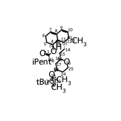 CCC[C@H](C)C(=O)O[C@H]1CCC=C2C=C[C@H](C)[C@H](CC[C@@H]3C[C@H](O[Si](C)(C)C(C)(C)C)CCO3)[C@H]21